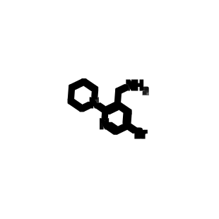 NCc1cc(Br)cnc1N1CCCCC1